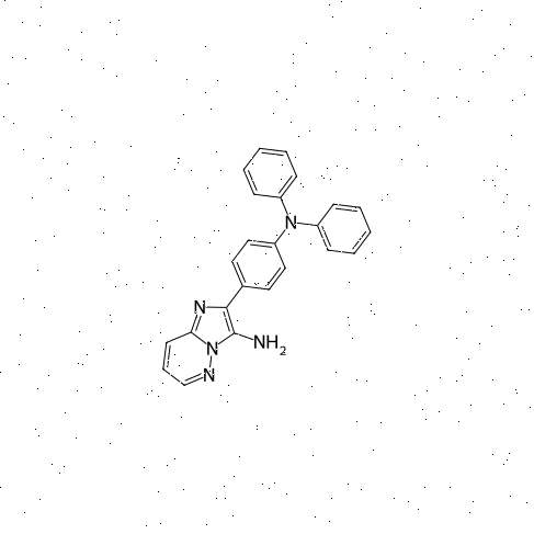 Nc1c(-c2ccc(N(c3ccccc3)c3ccccc3)cc2)nc2cccnn12